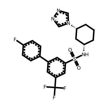 O=S(=O)(N[C@H]1CCC[C@@H](n2cnnc2)C1)c1cc(-c2ccc(F)cc2)cc(C(F)(F)F)c1